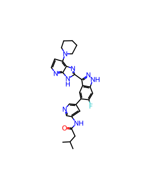 CC(C)CC(=O)Nc1cncc(-c2cc3c(-c4nc5c(N6CCCCC6)ccnc5[nH]4)n[nH]c3cc2F)c1